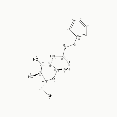 CO[C@H]1O[C@H](CO)[C@@H](O)[C@H](O)[C@@H]1NC(=O)OCc1ccccc1